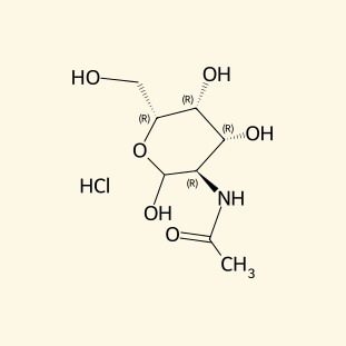 CC(=O)N[C@H]1C(O)O[C@H](CO)[C@H](O)[C@@H]1O.Cl